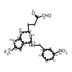 O=CC(=O)CCc1nc(NCc2cccc([N+](=O)[O-])c2)c2cc(C(F)(F)F)sc2n1